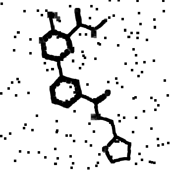 CNC(=O)c1nc(-c2cccc(C(=O)NCC3CCCO3)c2)cnc1N